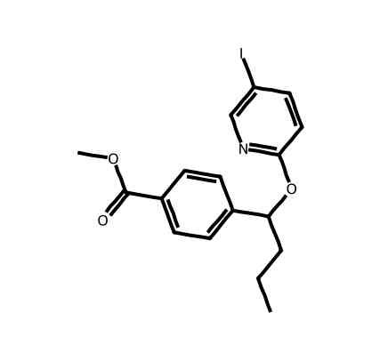 CCCC(Oc1ccc(I)cn1)c1ccc(C(=O)OC)cc1